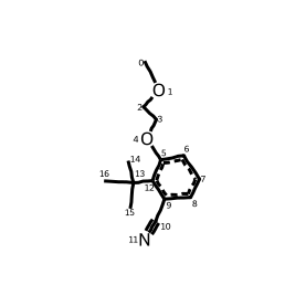 COCCOc1cccc(C#N)c1C(C)(C)C